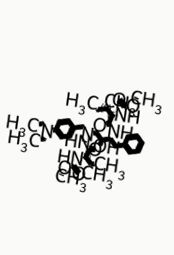 CC[C@H](C)[C@H](NC(=O)OC)C(=O)NC(Cc1ccccc1)C(O)CN(Cc1ccc(N(CC)CC)cc1)NC(=O)[C@@H](NC(=O)OC)C(C)C